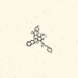 Nc1c(F)c(NCCCN2CCOCC2)c2c3c1c(=O)c(C(=O)N1CCOCC1)cn3-c1cc3ccccc3cc1O2